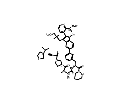 CCn1c(-c2cccnc2[C@H](C)OC)c(CC(C)(C)COC(C)=O)c2cc(-c3cccc(C[C@H](NC(=O)[C@H](C(C)C)N(C)C(=O)[C@H]4CCN(C(=O)C#C[C@@]5(N(C)C)CCOC5)C4)C(=O)N4CCCCN4)c3)ccc21